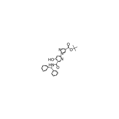 CC(C)(C)OC(=O)c1cnn(-c2cc(O)c(C(=O)NC(c3ccccc3)c3ccccc3)cn2)c1